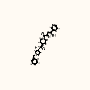 O=C(N[C@H]1CCN(Cc2ccccc2)C1)C1CCN(C(=O)c2cc(-c3cccnc3)[nH]n2)CC1